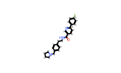 O=C(NCCc1ccc(CN2CCCC2)cc1)c1ccc(-c2ccc(F)cc2)nc1